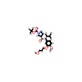 COCCCOc1cc(C[C@@H](C[C@H]2CN(C(=O)OC(C)(C)C)C[C@@H]2C=O)C(C)C)ccc1OC